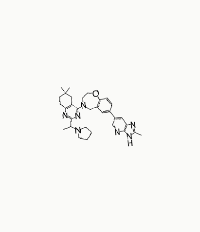 Cc1nc2cc(-c3ccc4c(c3)CN(c3nc(C(C)N5CCCC5)nc5c3CC(C)(C)CC5)CCO4)cnc2[nH]1